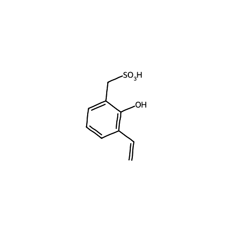 C=Cc1cccc(CS(=O)(=O)O)c1O